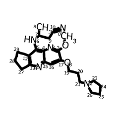 COc1nc2c(NC(C)CC#N)c3c(nc2cc1OCCCN1CCCC1)CCC3